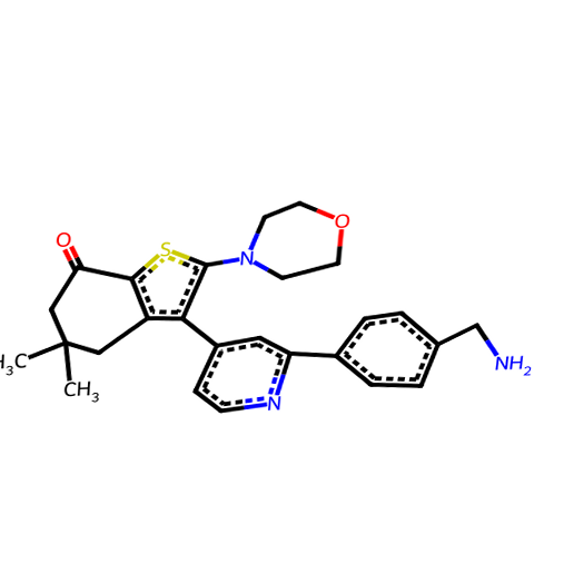 CC1(C)CC(=O)c2sc(N3CCOCC3)c(-c3ccnc(-c4ccc(CN)cc4)c3)c2C1